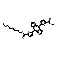 CCCCCCCCOC(=O)c1ccc(-c2c3ccsc3c(-c3ccc(C(=O)OC)s3)c3ccsc23)s1